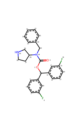 O=C(OC(c1cccc(F)c1)c1cccc(F)c1)N(Cc1ccccc1)C1CCNC1